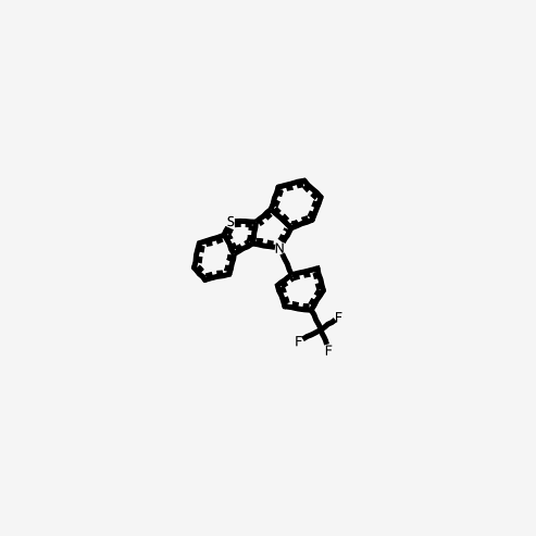 FC(F)(F)c1ccc(-n2c3ccccc3c3sc4ccccc4c32)cc1